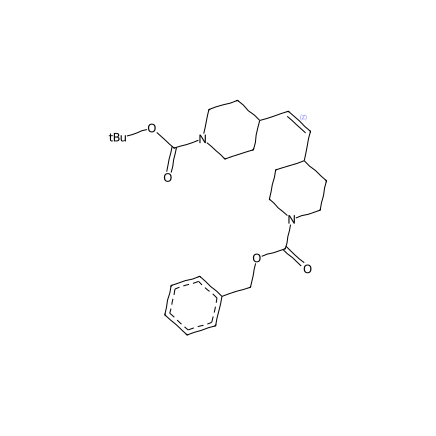 CC(C)(C)OC(=O)N1CCC(/C=C\C2CCN(C(=O)OCc3ccccc3)CC2)CC1